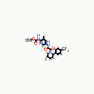 Cc1cc(NC(=O)C(=O)N2C[C@@H](C)CC[C@@H]2c2ccc(C(F)(F)F)cc2)cnc1NC(=O)OC(C)(C)C